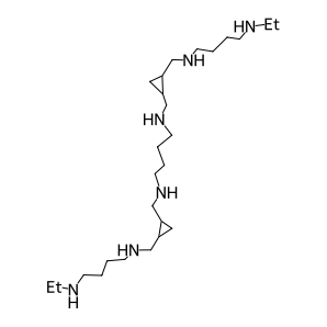 CCNCCCCNCC1CC1CNCCCCNCC1CC1CNCCCCNCC